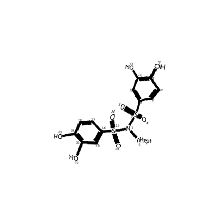 CCCCCCCN(S(=O)(=O)c1ccc(O)c(O)c1)S(=O)(=O)c1ccc(O)c(O)c1